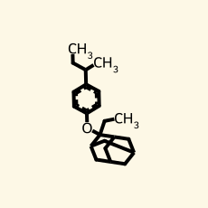 CCC(C)c1ccc(OC2(CC)C3CC4CC(C3)CC2C4)cc1